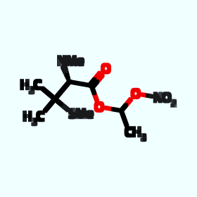 CN[C@@H](C(=O)OC(C)O[N+](=O)[O-])C(C)(C)SC